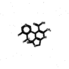 CC1=C(C(=O)O)C(c2cncc(F)c2[C@@H](C)F)C2=C(COC2=O)N1